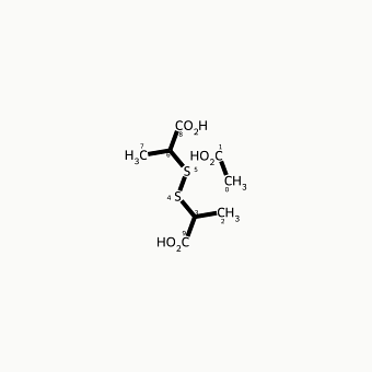 CC(=O)O.CC(SSC(C)C(=O)O)C(=O)O